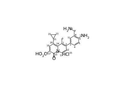 Cc1c(-c2ccc(N)c(CN)c2)ccn2c(=O)c(C(=O)O)cc(C3CC3)c12.Cl